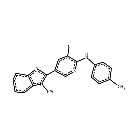 CCCn1c(-c2cnc(Nc3ccc(C)cc3)c(Cl)c2)nc2ccccc21